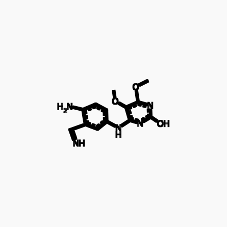 COc1nc(O)nc(Nc2ccc(N)c(C=N)c2)c1OC